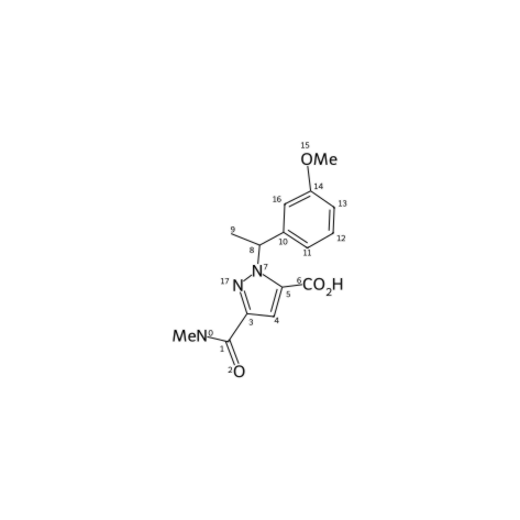 CNC(=O)c1cc(C(=O)O)n(C(C)c2cccc(OC)c2)n1